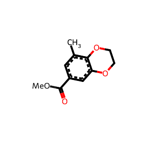 COC(=O)c1cc(C)c2c(c1)OCCO2